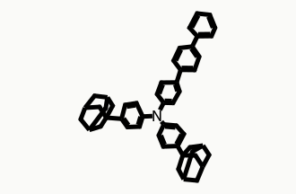 c1ccc(-c2ccc(-c3ccc(N(c4ccc(C56CC7CC(CC(C7)C5)C6)cc4)c4ccc(C56CC7CC(CC(C7)C5)C6)cc4)cc3)cc2)cc1